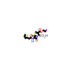 O=C(Cc1cccs1)NC1C(=O)N2C(C(=O)O)C(C(=O)OCCI)=CS[C@@H]12